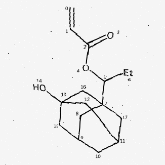 C=CC(=O)OC(CC)C12CC3CC(CC(O)(C3)C1)C2